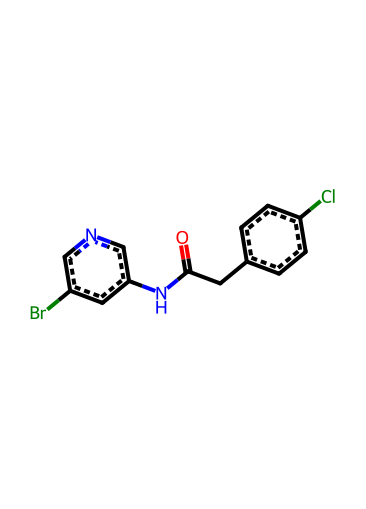 O=C(Cc1ccc(Cl)cc1)Nc1cncc(Br)c1